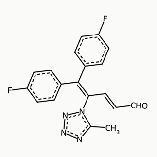 Cc1nnnn1C(C=CC=O)=C(c1ccc(F)cc1)c1ccc(F)cc1